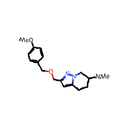 CNC1CCc2cc(COCc3ccc(OC)cc3)nn2C1